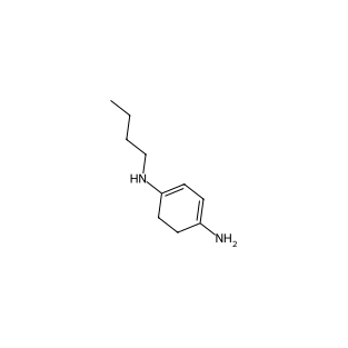 CCCCNC1=CC=C(N)CC1